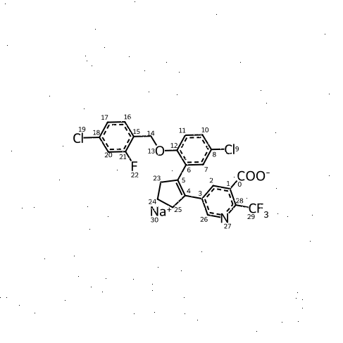 O=C([O-])c1cc(C2=C(c3cc(Cl)ccc3OCc3ccc(Cl)cc3F)CCC2)cnc1C(F)(F)F.[Na+]